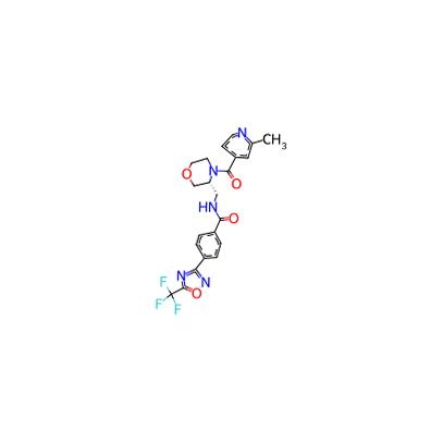 Cc1cc(C(=O)N2CCOC[C@H]2CNC(=O)c2ccc(-c3noc(C(F)(F)F)n3)cc2)ccn1